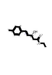 CCOC(=O)C[C@@H](O)/C=C/c1ccc(C)cc1